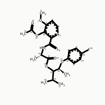 COc1ccnc(C(=S)N[C@@H](C)C(=O)OC(C(C)C)[C@H](C)Oc2ccc(F)cc2)c1OC(C)=O